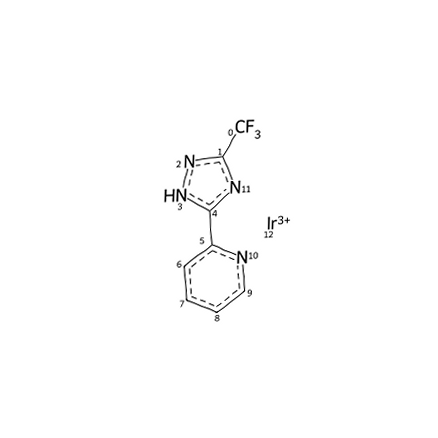 FC(F)(F)c1n[nH]c(-c2ccccn2)n1.[Ir+3]